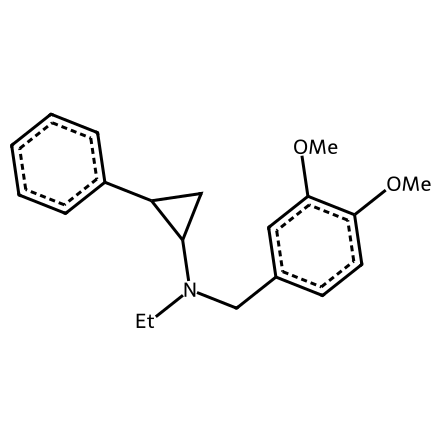 CCN(Cc1ccc(OC)c(OC)c1)C1CC1c1ccccc1